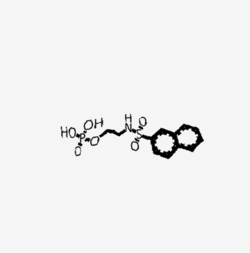 O=P(O)(O)OCCNS(=O)(=O)c1ccc2ccccc2c1